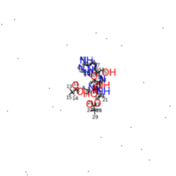 C[C@H](O)[C@@H](CN([C@@H](C)COC(=O)C(C)(C)C)P(=O)(O)N[C@@H](C)COC(=O)C(C)(C)C)O[C@](C#N)(CO)c1ccc2c(N)ncnn12